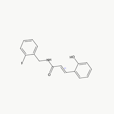 O=C(/C=C/c1ccccc1O)NCc1ccccc1F